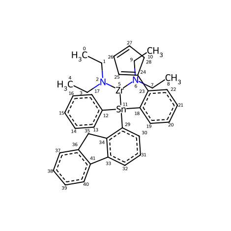 CC[N](CC)[Zr]([N](CC)CC)[Sn]([c]1ccccc1)([c]1ccccc1C1=CC=CC1)[c]1cccc2c1Cc1ccccc1-2